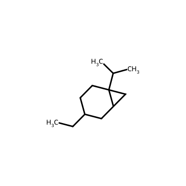 CCC1CCC2(C(C)C)CC2C1